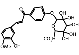 COc1ccc(C=CC(=O)c2ccc(OC3OC(C(=O)O)C(O)(O)C(O)C3(O)O)cc2)cc1O